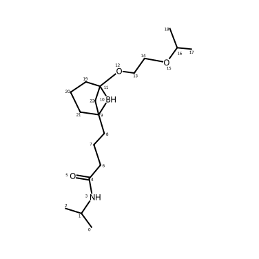 CC(C)NC(=O)CCCC12BC(OCCOC(C)C)(CCC1)C2